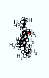 Cc1noc(C)c1C(=O)NC[C@H](O)[C@@]12CC[C@]3(C)[C@H](CC[C@@H]4[C@@]5(C)CC[C@H](OC(=O)[C@H]6C[C@@H](C(=O)O)C6(C)C)C(C)(C)[C@@H]5CC[C@]43C)C1=C(C(C)C)C(=O)C2